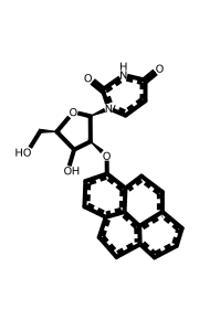 O=c1ccn([C@@H]2O[C@H](CO)C(O)[C@@H]2Oc2ccc3ccc4cccc5ccc2c3c45)c(=O)[nH]1